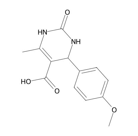 COc1ccc(C2NC(=O)NC(C)=C2C(=O)O)cc1